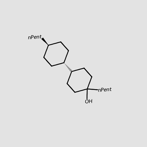 CCCCCC1(O)CCC([C@H]2CC[C@H](CCCCC)CC2)CC1